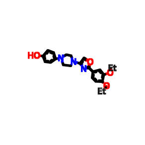 CCOc1ccc(-c2nc(N3CCN(c4ccc(O)cc4)CC3)co2)cc1OCC